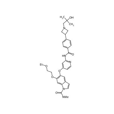 CCOCCOc1cc2c(ccn2C(=O)NC)cc1Oc1ccnc(NC(=O)c2ccc(C3CN(CC(C)(C)O)C3)cc2)c1